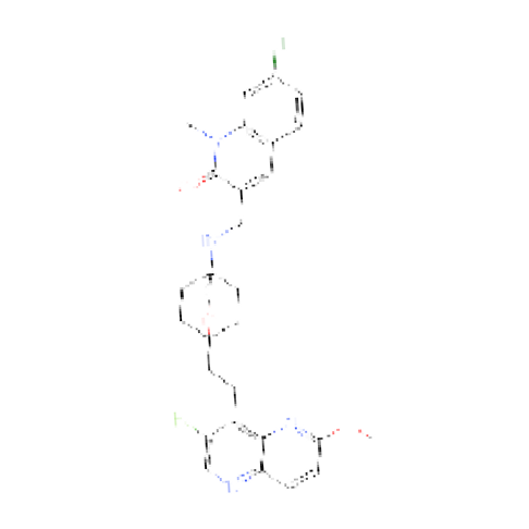 COc1ccc2ncc(F)c(CCC34CCC(NCc5cc6ccc(Cl)cc6n(C)c5=O)(CC3)CO4)c2n1